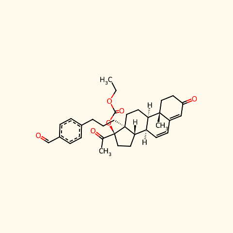 CCOC(=O)O[C@]1(C(C)=O)CC[C@H]2[C@@H]3C=CC4=CC(=O)CC[C@@]4(C)[C@@H]3CC[C@@]21CCCc1ccc(C=O)cc1